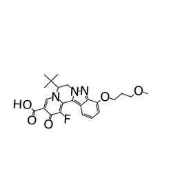 COCCCOc1cccc2c3n(nc12)CC(C(C)(C)C)n1cc(C(=O)O)c(=O)c(F)c1-3